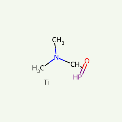 CN(C)C.O=P.[Ti]